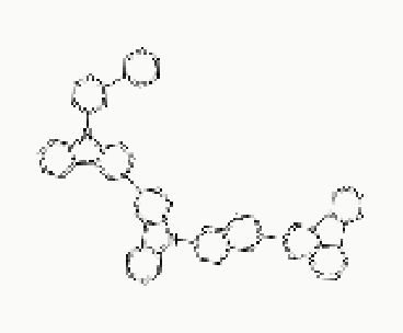 c1ccc(-c2cccc(-n3c4ccccc4c4cc(-c5ccc6c(c5)c5ccccc5n6-c5ccc6cc(-c7cc8c9c(cccc9c7)-c7ccccc7-8)ccc6c5)ccc43)c2)cc1